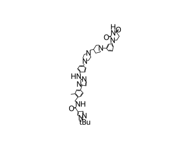 Cc1cc(-c2ccnc(Nc3ccc(N4CCN(CC5CCN(c6cccc(N7CCC(=O)NC7=O)c6)CC5)CC4)cc3)n2)ccc1CNC(=O)c1cnn(C(C)(C)C)c1